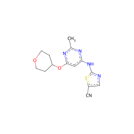 Cc1nc(Nc2ncc(C#N)s2)cc(OC2CCOCC2)n1